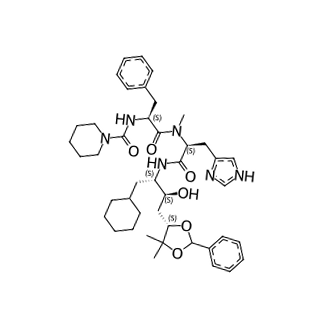 CN(C(=O)[C@H](Cc1ccccc1)NC(=O)N1CCCCC1)[C@@H](Cc1c[nH]cn1)C(=O)N[C@@H](CC1CCCCC1)[C@@H](O)C[C@@H]1OC(c2ccccc2)OC1(C)C